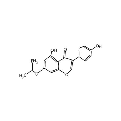 CC(P)Oc1cc(O)c2c(=O)c(-c3ccc(O)cc3)coc2c1